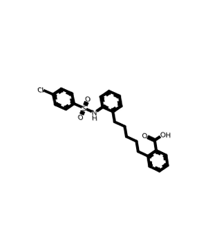 O=C(O)c1ccccc1CCCCCc1ccccc1NS(=O)(=O)c1ccc(Cl)cc1